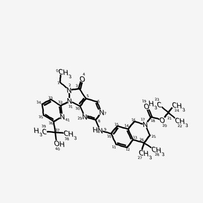 CCn1c(=O)c2cnc(Nc3ccc4c(c3)CN(C(=O)OC(C)(C)C)CC4(C)C)nc2n1-c1cccc(C(C)(C)O)n1